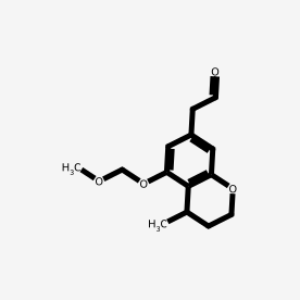 COCOc1cc(CC=O)cc2c1C(C)CCO2